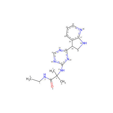 CCNC(=O)C(C)(C)Nc1ncnc(C2CNc3ncccc32)n1